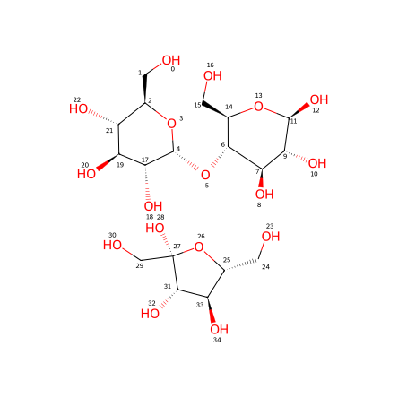 OC[C@H]1O[C@H](O[C@H]2[C@H](O)[C@@H](O)[C@H](O)O[C@@H]2CO)[C@H](O)[C@@H](O)[C@@H]1O.OC[C@H]1O[C@](O)(CO)[C@@H](O)[C@@H]1O